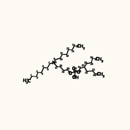 CCCCCCCCN(CCCCCCCC)CCCCOP(=O)(O)OCC(CCCC)CCCC